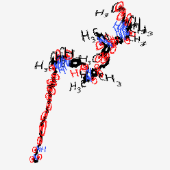 COCCOCCC(=O)N[C@H](C(=O)N[C@@H](C)C(=O)Nc1ccc(COC(=O)N2c3cc(OCCCCCOc4cc5c(cc4OC)C(=O)N4C=C(C)C[C@H]4[C@H](O)N5COCc4ccc(NC(=O)[C@H](C)NC(=O)[C@@H](NC(=O)CCOCCOCCOCCOCCOCCOCCOCCOCCNC(=O)CCN5C(=O)C=CC5=O)C(C)C)cc4)c(OC)cc3C(=O)N3C=C(C)C[C@H]3[C@@H]2O)cc1)C(C)C